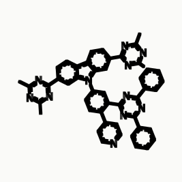 Cc1nc(C)nc(-c2ccc3c4ccc(-c5nc(C)nc(C)n5)cc4n(-c4ccc(-c5ccncc5)c(-c5nc(-c6ccccc6)nc(-c6ccccc6)n5)c4)c3c2)n1